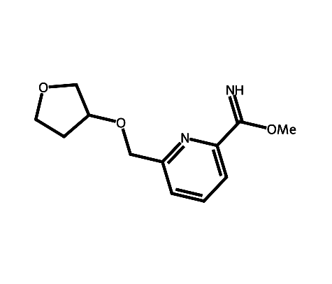 COC(=N)c1cccc(COC2CCOC2)n1